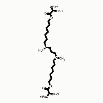 CCCCCCCCC(CCCCCC)C(=O)OCCCCCCCN(C)CCCN(C)CCCCCCCOC(=O)C(CCCCCC)CCCCCCCC